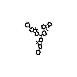 CC1(C)c2cc(-c3ccccc3)ccc2-c2ccc(C(c3cccc(-c4cccc5c4oc4ccccc45)c3)c3ccc4c(c3)C(C)(C)c3cc(-c5ccccc5)ccc3-4)cc21